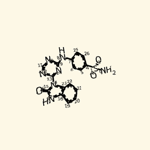 NS(=O)(=O)c1ccc(Nc2ncnc(-n3c(=O)[nH]c4ccccc43)n2)cc1